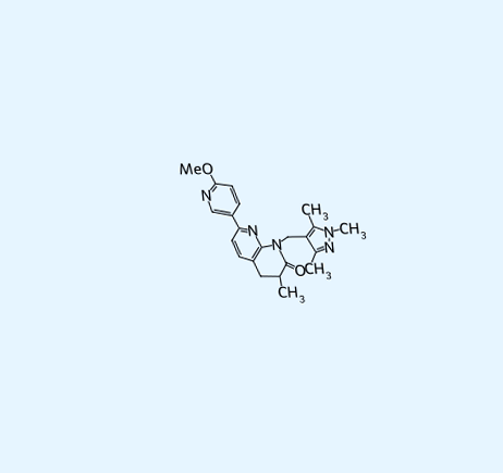 COc1ccc(-c2ccc3c(n2)N(Cc2c(C)nn(C)c2C)C(=O)C(C)C3)cn1